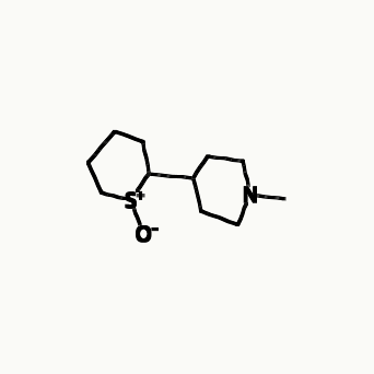 CN1CCC(C2CCCC[S+]2[O-])CC1